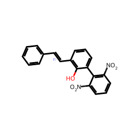 O=[N+]([O-])c1cccc([N+](=O)[O-])c1-c1cccc(/C=C/c2ccccc2)c1O